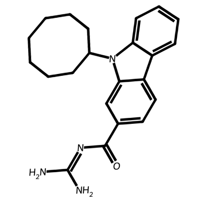 NC(N)=NC(=O)c1ccc2c3ccccc3n(C3CCCCCCC3)c2c1